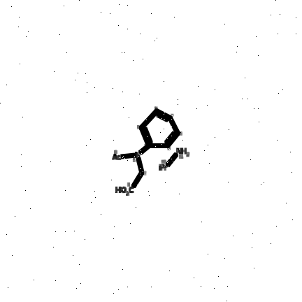 CC(=O)N(CC(=O)O)c1ccccc1.CC(C)N